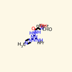 CCCCC[C@H](CN(O)C=O)C(=O)NNc1nc(NCCC)nc(N2CCN(C)CC2)n1